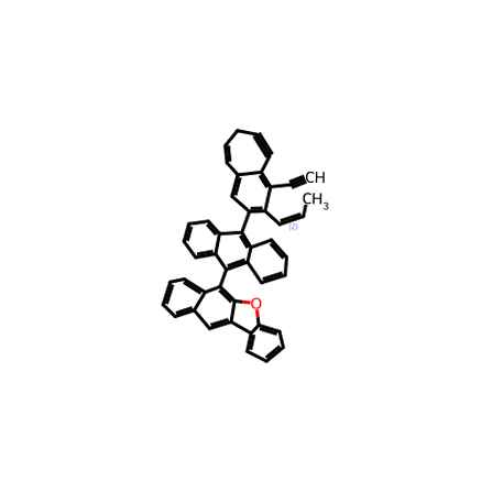 C#Cc1c2c(cc(-c3c4ccccc4c(-c4c5ccccc5cc5c4oc4ccccc45)c4ccccc34)c1/C=C\C)C=CCC#C2